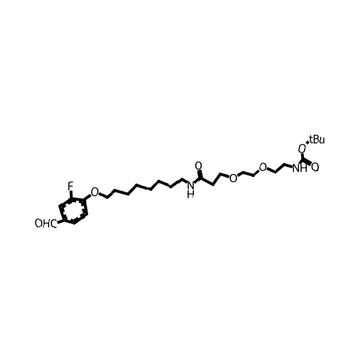 CC(C)(C)OC(=O)NCCOCCOCCC(=O)NCCCCCCCCOc1ccc(C=O)cc1F